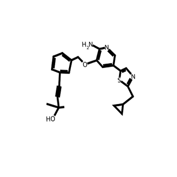 CC(C)(O)C#Cc1cccc(COc2cc(-c3cnc(CC4CC4)s3)cnc2N)c1